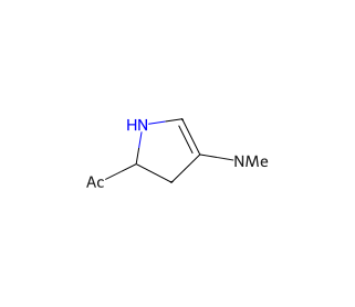 CNC1=CNC(C(C)=O)C1